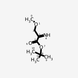 COCC(=N)C(=O)OC(C)(C)C